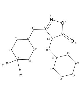 O=c1onc(CC2CCC(F)(F)CC2)n1CC1CCCCC1